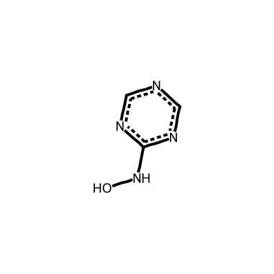 ONc1ncncn1